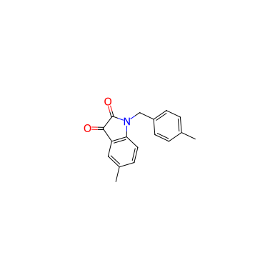 Cc1ccc(CN2C(=O)C(=O)c3cc(C)ccc32)cc1